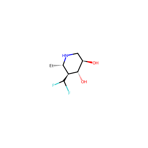 CC[C@@H]1NC[C@@H](O)[C@H](O)[C@H]1C(F)F